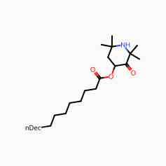 CCCCCCCCCCCCCCCCCC(=O)OC1CC(C)(C)NC(C)(C)C1=O